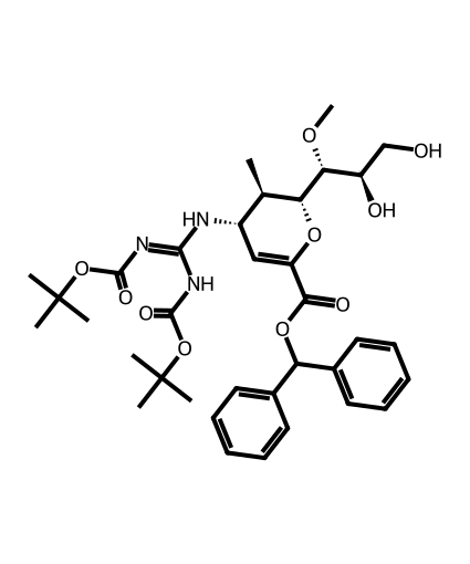 CO[C@@H]([C@@H]1OC(C(=O)OC(c2ccccc2)c2ccccc2)=C[C@H](N/C(=N/C(=O)OC(C)(C)C)NC(=O)OC(C)(C)C)[C@H]1C)[C@H](O)CO